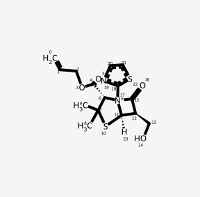 C=CCOC(=O)[C@H]1C(C)(C)S[C@@H]2[C@H](CO)C(=O)[N+]21c1nccs1